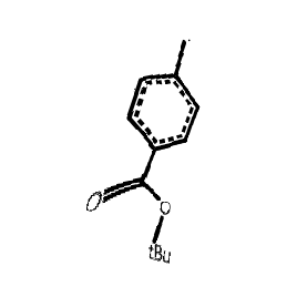 [CH2]c1ccc(C(=O)OC(C)(C)C)cc1